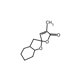 CC1=CC2(CC3CCCCC3O2)OC1=O